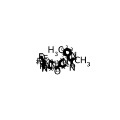 Cc1ccc2nc(C)c(C#N)c(N3CCC(C(=O)N4CCn5c(nnc5C(F)(F)F)C4)CC3)c2c1